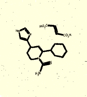 NC(=S)N1CCC(c2c[nH]cn2)CC1C1CCCCC1.O=C(O)C=CC(=O)O